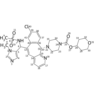 Cn1cncc1C(NS(C)(=O)=O)C1=Cc2cccnc2[C@@H](N2CCN(C(=O)OC3CCOCC3)CC2)c2ccc(Cl)cc21